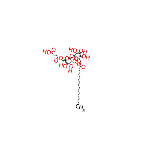 CCCCCCCCCCCCCCCC(=O)OCC1O[C@@H](O[C@@H]2O[C@H](COC(=O)CCC(=O)O)[C@H](O)C(O)C2O)C(O)[C@@H](O)[C@@H]1O